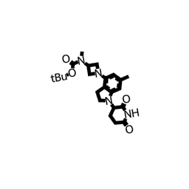 Cc1cc(N2CC(N(C)C(=O)OC(C)(C)C)C2)c2c(c1)N(C1CCC(=O)NC1=O)CC2